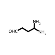 NC(N)CCC=O